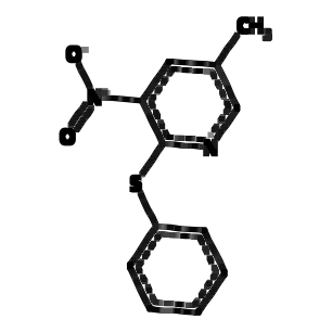 Cc1cnc(Sc2ccccc2)c([N+](=O)[O-])c1